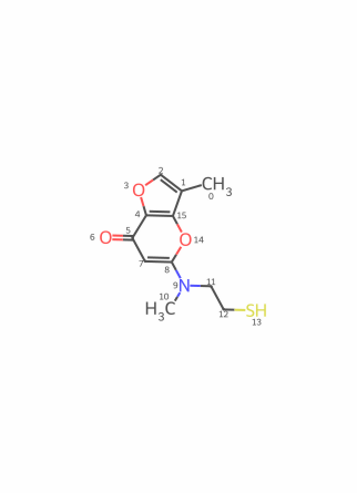 Cc1coc2c(=O)cc(N(C)CCS)oc12